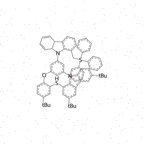 CC(C)(C)c1ccc2c(c1)[SH]1c3c(cc(N4c5c(CS(c6ccccc6)(c6ccccc6)c6ccccc6)cccc5C5C=CC=CC54)cc3-n3c4ccc(C(C)(C)C)cc4c4cc(C(C)(C)C)cc1c43)O2